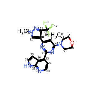 C[C@@H]1COCCN1c1cc(-c2cn(C)nc2C(F)(F)F)nc(-c2ccnc3[nH]ccc23)n1